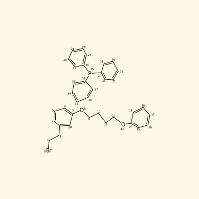 BrCCc1cccc(OCCCCOc2ccccc2)c1.c1ccc(P(c2ccccc2)c2ccccc2)cc1